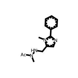 CC(=O)N(C)NCc1cnc(-c2ccccc2)n1C